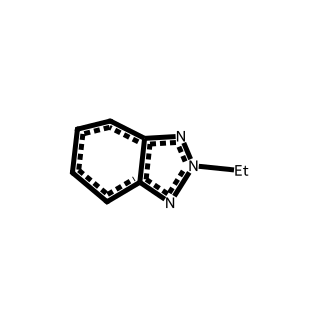 CCn1nc2ccccc2n1